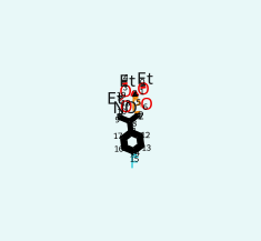 CCOC(OCC)P(=O)(CC(C[N+](=O)[O-])c1ccc(F)cc1)OCC